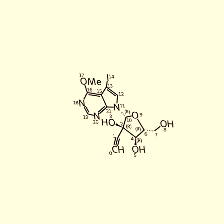 C#C[C@@]1(O)[C@H](O)[C@@H](CO)O[C@H]1n1cc(I)c2c(OC)ncnc21